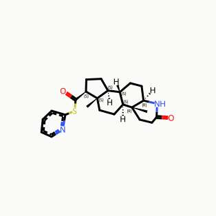 C[C@]12CCC(=O)N[C@@H]1CC[C@@H]1[C@@H]2CC[C@]2(C)[C@@H](C(=O)Sc3ccccn3)CC[C@@H]12